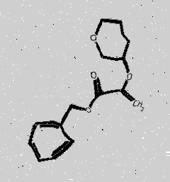 C=C(OC1CCCOC1)C(=O)OCc1ccccc1